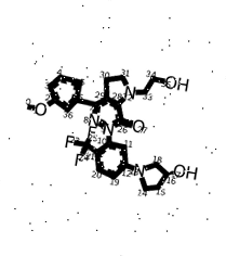 COc1cccc(-c2nn(-c3cc(N4CC[C@H](O)C4)ccc3C(F)(F)F)c(=O)c3c2CCN3CCO)c1